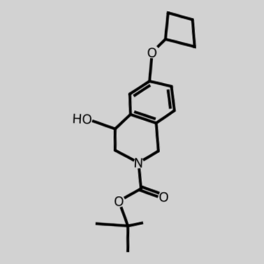 CC(C)(C)OC(=O)N1Cc2ccc(OC3CCC3)cc2C(O)C1